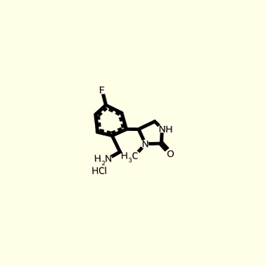 CN1C(=O)NCC1c1cc(F)ccc1CN.Cl